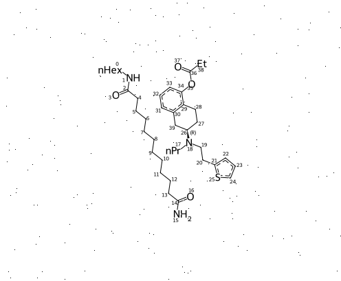 CCCCCCNC(=O)CCCCCCCCCCC(N)=O.CCCN(CCc1cccs1)[C@@H]1CCc2c(cccc2OC(=O)CC)C1